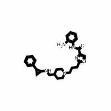 Nc1ccccc1NC(=O)c1coc(CCCN2CCC(CNC3CC3c3ccccc3)CC2)n1